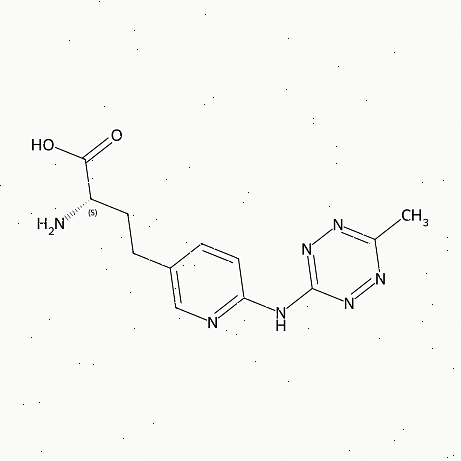 Cc1nnc(Nc2ccc(CC[C@H](N)C(=O)O)cn2)nn1